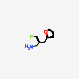 NCC(=CF)Cc1ccco1